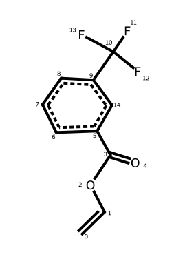 C=COC(=O)c1cccc(C(F)(F)F)c1